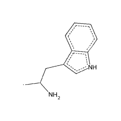 [CH2]C(N)Cc1c[nH]c2ccccc12